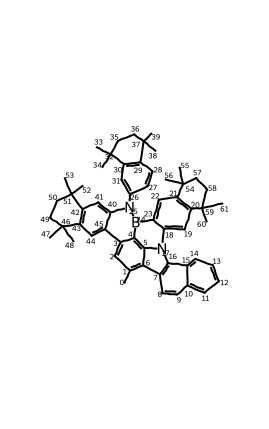 Cc1cc2c3c4c1c1ccc5ccccc5c1n4-c1cc4c(cc1B3N(c1ccc3c(c1)C(C)(C)CCC3(C)C)c1cc3c(cc1-2)C(C)(C)CCC3(C)C)C(C)(C)CCC4(C)C